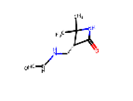 CC1(C)NC(=O)[C@@H]1CNBC=O